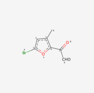 Cc1cc(Br)oc1C(=O)C=O